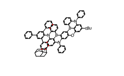 CC(C)(C)c1cc2c3c(c1)N(c1ccccc1)c1ccccc1B3c1cc3c(cc1O2)N(c1ccccc1)c1cc(N2C4CC5CC(C4)CC2C5)cc2c1B3c1ccccc1N2c1c(-c2ccccc2)cc(-c2ccccc2)cc1-c1ccccc1